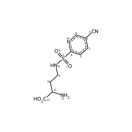 N#Cc1ccc(S(=O)(=O)NCCC(N)C(=O)O)nc1